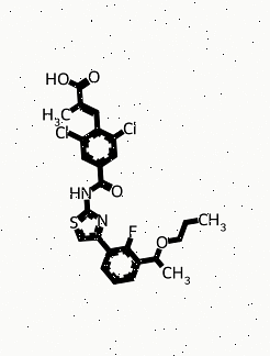 CCCOC(C)c1cccc(-c2csc(NC(=O)c3cc(Cl)c(C=C(C)C(=O)O)c(Cl)c3)n2)c1F